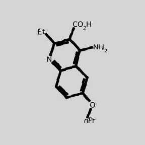 CCCOc1ccc2nc(CC)c(C(=O)O)c(N)c2c1